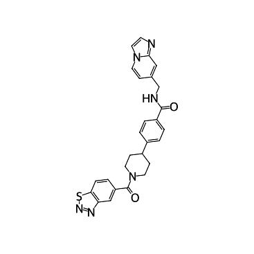 O=C(NCc1ccn2ccnc2c1)c1ccc(C2CCN(C(=O)c3ccc4snnc4c3)CC2)cc1